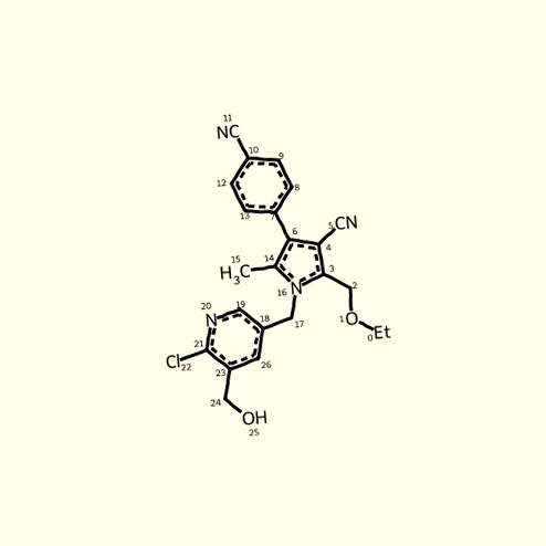 CCOCc1c(C#N)c(-c2ccc(C#N)cc2)c(C)n1Cc1cnc(Cl)c(CO)c1